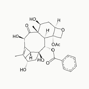 CC(=O)O[C@@]12CO[C@@H]1C[C@H](O)[C@@]1(C)C(=O)[C@H](O)C3=C(C)[C@@H](O)C[C@](O)([C@@H]3C)[C@@H](OC(=O)c3ccccc3)[C@H]21